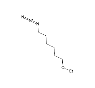 CCOCCCCCCN=[N+]=[N-]